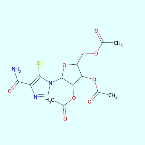 CC(=O)OCC1OC(n2cnc(C(N)=O)c2S)C(OC(C)=O)C1OC(C)=O